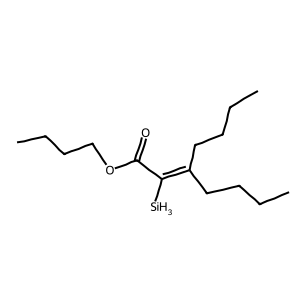 CCCCOC(=O)C([SiH3])=C(CCCC)CCCC